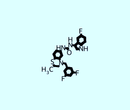 CC1CN(Cc2cc(F)cc(F)c2)c2cc(NC(=O)Nc3c[nH]c4ccc(F)cc34)ccc2S1